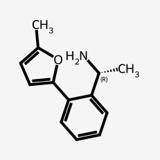 Cc1ccc(-c2ccccc2[C@@H](C)N)o1